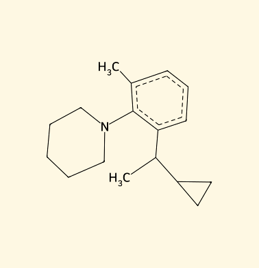 Cc1cccc(C(C)C2CC2)c1N1CCCCC1